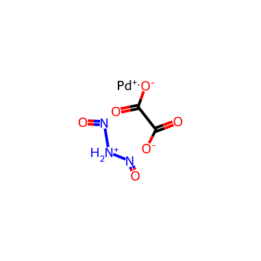 O=C([O-])C(=O)[O-].O=N[NH2+]N=O.[Pd+]